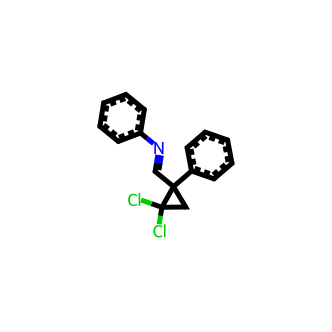 ClC1(Cl)CC1(C=Nc1ccccc1)c1ccccc1